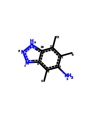 Cc1c(N)c(C)c2nn[nH]c2c1C